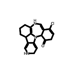 O=C1CC=C(Cl)C2=CNC3=C4C(CCC3)C3=CNCC=C3N4C12